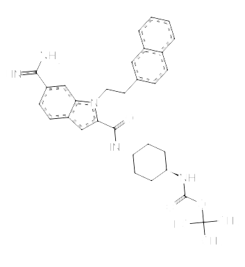 CC(C)(C)OC(=O)N[C@H]1CC[C@H](NC(=O)c2cc3ccc(C(=N)N)cc3n2CCc2ccc3ccccc3c2)CC1